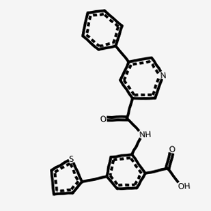 O=C(Nc1cc(-c2cccs2)ccc1C(=O)O)c1cncc(-c2ccccc2)c1